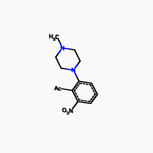 CC(=O)c1c(N2CCN(C)CC2)cccc1[N+](=O)[O-]